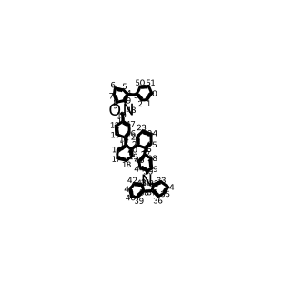 c1ccc(-c2cccc3oc(-c4ccc(-c5ccccc5-c5ccccc5-c5ccc(-n6c7ccccc7c7ccccc76)cc5)cc4)nc23)cc1